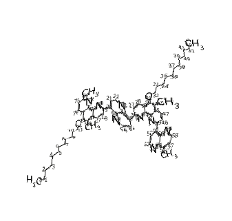 CCCCCCCCCCCCOc1c(C)c2ccc(-c3ccnc4c(-c5ccc6c(OCCCCCCCCCCCC)c(C)c7ccc(-c8ccnc9c(C)ccnc89)nc7c6n5)ccnc34)nc2c2nc(C)ccc12